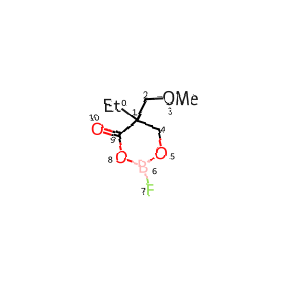 CCC1(COC)COB(F)OC1=O